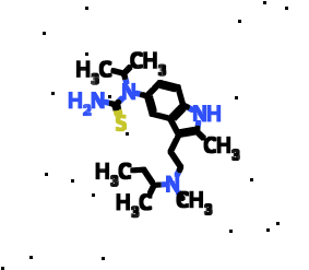 CCC(C)N(C)CCc1c(C)[nH]c2ccc(N(C(N)=S)C(C)C)cc12